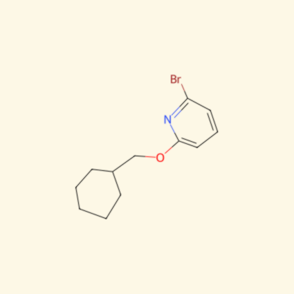 Brc1cccc(OCC2CCCCC2)n1